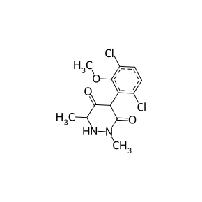 COc1c(Cl)ccc(Cl)c1C1C(=O)C(C)NN(C)C1=O